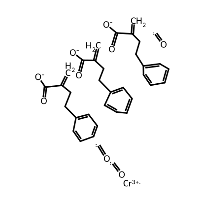 C=C(CCc1ccccc1)C(=O)[O-].C=C(CCc1ccccc1)C(=O)[O-].C=C(CCc1ccccc1)C(=O)[O-].[C]=O.[C]=O.[C]=O.[Cr+3]